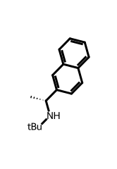 C[C@@H](NC(C)(C)C)c1ccc2ccccc2c1